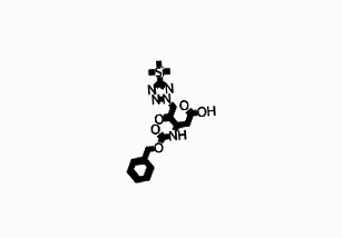 C[Si](C)(C)c1nnn(CC(=O)C(CC(=O)O)NC(=O)OCc2ccccc2)n1